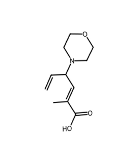 C=CC(C=C(C)C(=O)O)N1CCOCC1